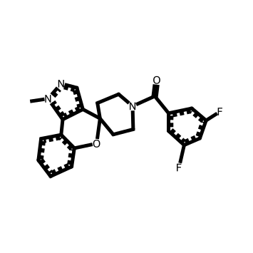 Cn1ncc2c1-c1ccccc1OC21CCN(C(=O)c2cc(F)cc(F)c2)CC1